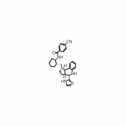 N#Cc1ccc(C(=O)N[C@@H]2CCCC[C@H]2CN2CC[C@H]3[C@H](c4ncc[nH]4)Nc4ccccc4[C@@H]32)cc1